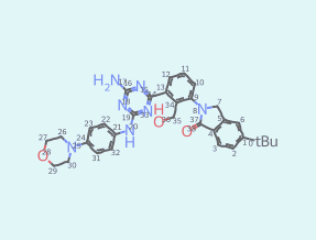 CC(C)(C)c1ccc2c(c1)CN(c1cccc(-c3nc(N)nc(Nc4ccc(N5CCOCC5)cc4)n3)c1CO)C2=O